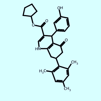 Cc1cc(C)c(C2CC(=O)C3=C(C2)NC=C(C(=O)OC2CCCC2)C3c2cccc(O)c2)c(C)c1